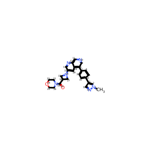 Cn1cc(-c2ccc(-c3cncc4ncc(N5CC(C(=O)N6CCOCC6)C5)cc34)cc2)cn1